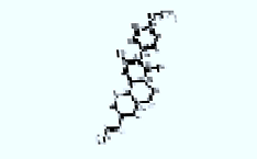 CC/C=C/C1CCC2c3cc(F)c(-c4ccc(OC(F)(F)F)cc4)c(F)c3CCC2C1